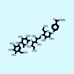 COC(=O)c1ccc(OC2OC(CO)C(OCC(O)C(O)C(OC3OC(C)C(NC4C=C(CO)C(O)C(O)C4O)C(O)C3O)C(O)CO)C(O)C2O)cc1